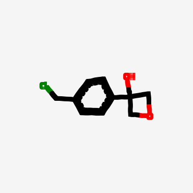 OC1(c2ccc(CCl)cc2)COC1